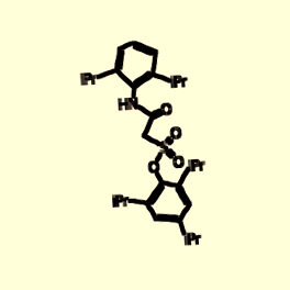 CC(C)c1cc(C(C)C)c(OS(=O)(=O)CC(=O)Nc2c(C(C)C)cccc2C(C)C)c(C(C)C)c1